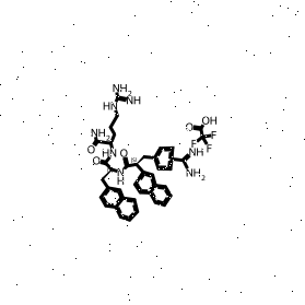 N=C(N)NCCCC(NC(=O)[C@H](Cc1ccc2ccccc2c1)NC(=O)[C@@H](Cc1ccc(C(=N)N)cc1)c1ccc2ccccc2c1)C(N)=O.O=C(O)C(F)(F)F